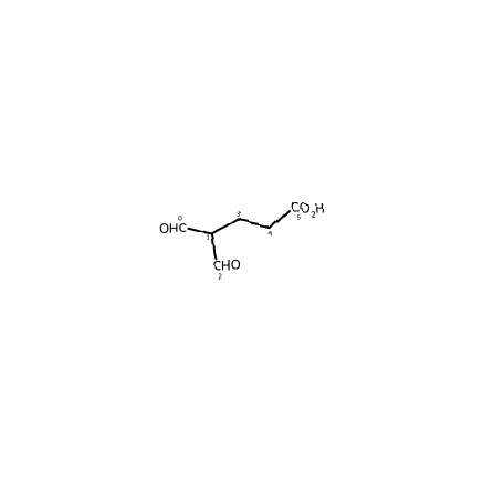 O=CC(C=O)CCC(=O)O